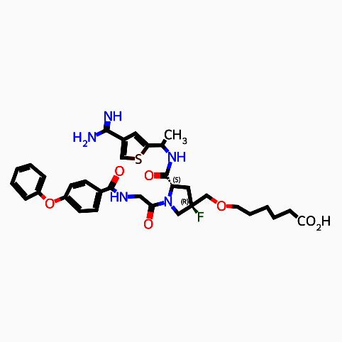 CC(NC(=O)[C@@H]1C[C@](F)(COCCCCCC(=O)O)CN1C(=O)CNC(=O)c1ccc(Oc2ccccc2)cc1)c1cc(C(=N)N)cs1